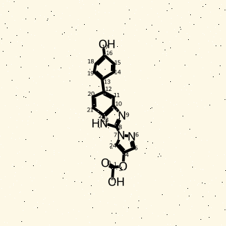 O=C(O)Oc1cnn(-c2nc3cc(-c4ccc(O)cc4)ccc3[nH]2)c1